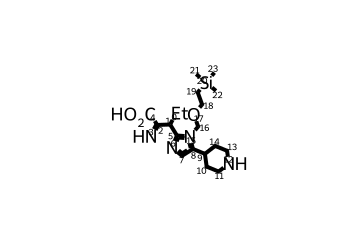 CCC(C(=N)C(=O)O)c1ncc(C2CCNCC2)n1COCC[Si](C)(C)C